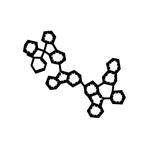 CC1CC=CC=C1C1(c2ccccc2)c2ccccc2-c2ccc(-n3c4ccccc4c4cc(-c5cc6c7c(c5)c5ccccc5n7-c5ccccc5-c5cc7ccccc7cc5-6)ccc43)cc21